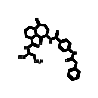 O=C[C@H](CC(=O)O)NC(=O)[C@@H]1CCCN2C(=O)CCN(NC(=O)c3ccc(NC(=O)Cc4ccccc4)cc3)C(=O)N12